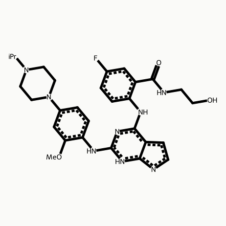 COc1cc(N2CCN(C(C)C)CC2)ccc1Nc1nc(Nc2ccc(F)cc2C(=O)NCCO)c2ccnc-2[nH]1